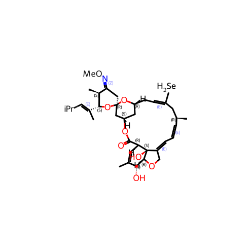 CO/N=C1/C[C@]2(C[C@@H]3C[C@@H](C/C=C(\C)C[C@@H](C)/C=C/C=C4\CO[C@@H]5[C@H](O)C(C)=C[C@@H](C(=O)O3)[C@]45O)O2)O[C@H](/C(C)=C/C(C)C)[C@H]1C.[SeH2]